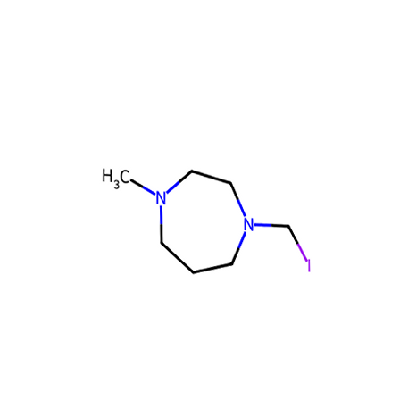 CN1CCCN(CI)CC1